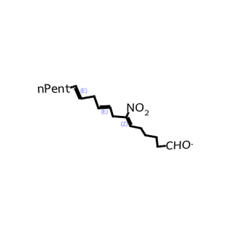 CCCCC/C=C/C/C=C/C/C(=C/CCCC[C]=O)[N+](=O)[O-]